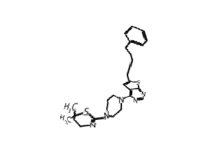 CC1(C)CN=C(N2CCN(c3ncnc4sc(CCCc5ccccc5)cc34)CC2)S1